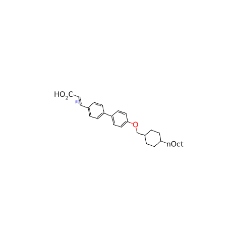 CCCCCCCCC1CCC(COc2ccc(-c3ccc(/C=C/C(=O)O)cc3)cc2)CC1